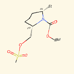 CC[C@H]1CC[C@@H](COS(C)(=O)=O)N1C(=O)OC(C)(C)C